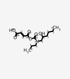 CCCCC(O)CN(CCC)C(=O)OC(=O)C=CC(=O)O